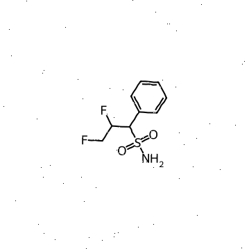 NS(=O)(=O)C(c1ccccc1)C(F)CF